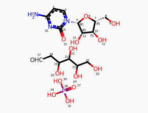 Nc1ccn([C@@H]2O[C@H](CO)[C@@H](O)[C@H]2O)c(=O)n1.O=CCC(O)C(O)C(O)CO.O=P(O)(O)O